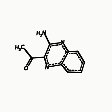 CC(=O)c1nc2ccccc2nc1N